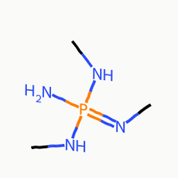 CN=P(N)(NC)NC